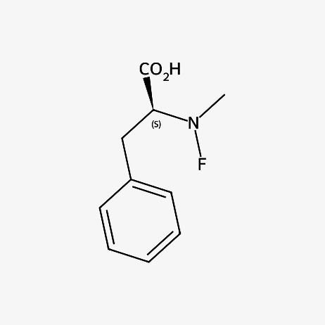 CN(F)[C@@H](Cc1ccccc1)C(=O)O